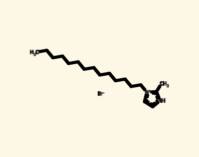 CCCCCCCCCCCCCC[n+]1cc[nH]c1C.[Br-]